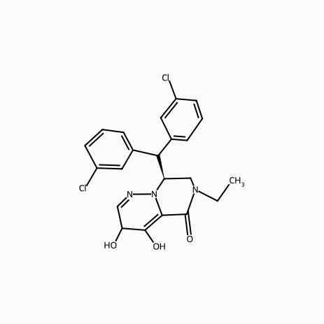 CCN1C[C@H](C(c2cccc(Cl)c2)c2cccc(Cl)c2)N2N=CC(O)C(O)=C2C1=O